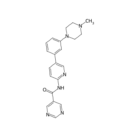 CN1CCN(c2cccc(-c3ccc(NC(=O)c4cncnc4)nc3)c2)CC1